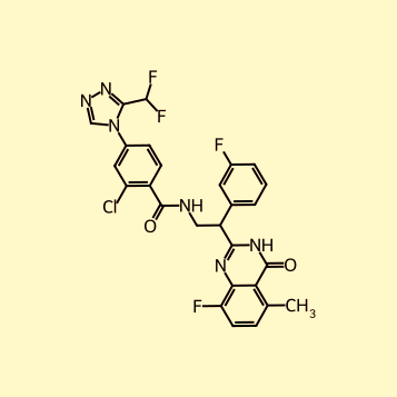 Cc1ccc(F)c2nc(C(CNC(=O)c3ccc(-n4cnnc4C(F)F)cc3Cl)c3cccc(F)c3)[nH]c(=O)c12